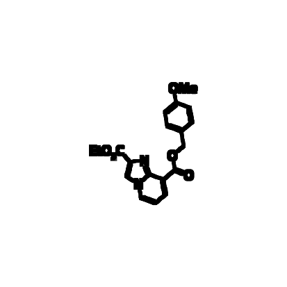 CCOC(=O)c1cn2cccc(C(=O)OCc3ccc(OC)cc3)c2n1